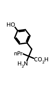 CCCC(N)(Cc1ccc(O)cc1)C(=O)O